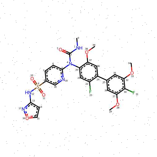 CNC(=O)N(c1ccc(S(=O)(=O)Nc2ccon2)cn1)c1cc(F)c(-c2cc(OC)c(F)c(OC)c2)cc1OC